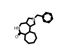 O=C1NCC2CN(Cc3ccccc3)CC2C2CCCCCC12